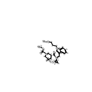 COCCCn1cc(CN(C(=O)[C@H]2CN(C(=O)OC(C)(C)C)C[C@](F)(C(=O)O)C2)C2CC2)c2ccccc21